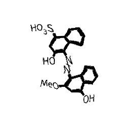 COc1cc(O)c2ccccc2c1N=Nc1c(O)cc(S(=O)(=O)O)c2ccccc12